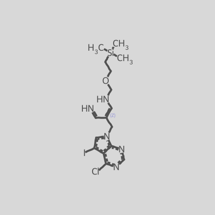 C[Si](C)(C)CCOCN/C=C(\C=N)Cn1cc(I)c2c(Cl)ncnc21